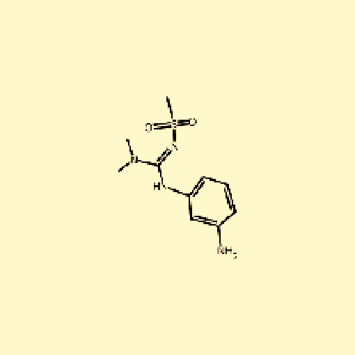 CN(C)C(=NS(C)(=O)=O)Nc1cccc(N)c1